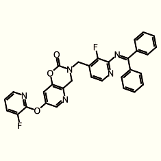 O=C1Oc2cc(Oc3ncccc3F)cnc2CN1Cc1ccnc(N=C(c2ccccc2)c2ccccc2)c1F